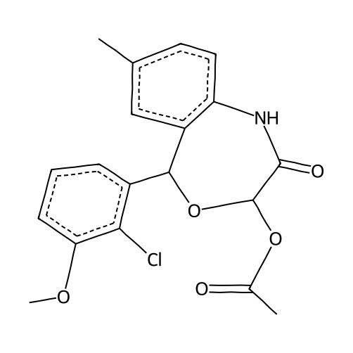 COc1cccc(C2OC(OC(C)=O)C(=O)Nc3ccc(C)cc32)c1Cl